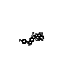 OC(c1ccc2c(cnn2-c2ccc(F)cc2)c1)(c1c[nH]c2ccncc12)C(F)(F)F